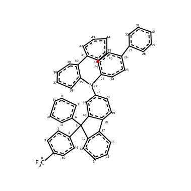 FC(F)(F)c1ccc(C2(c3ccccc3)c3ccccc3-c3ccc(N(c4ccc(-c5ccccc5)cc4)c4ccccc4-c4ccccc4)cc32)cc1